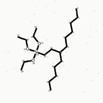 CCCCCCC(CCCCC)CC[Si](OCC)(OCC)OCC